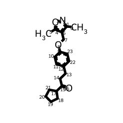 Cc1noc(C)c1COc1ccc(CCC(=O)C2CCCC2)cc1